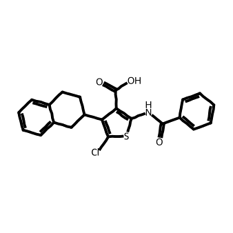 O=C(Nc1sc(Cl)c(C2CCc3ccccc3C2)c1C(=O)O)c1ccccc1